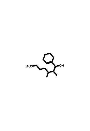 CC(=O)OCCCC(C)C(C)C(O)C1=CCCCC1